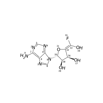 Nc1ncnc2c1ncn2[C@@H]1O/C(=C(/O)F)[C@@H](O)[C@H]1O